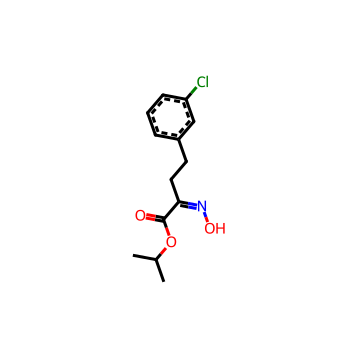 CC(C)OC(=O)C(CCc1cccc(Cl)c1)=NO